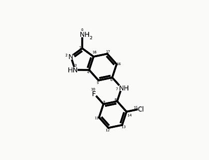 Nc1n[nH]c2cc(Nc3c(F)cccc3Cl)ccc12